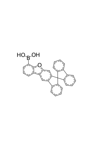 OB(O)c1cccc2c1oc1cc3c(cc12)-c1ccccc1C31c2ccccc2-c2ccccc21